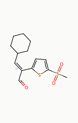 CS(=O)(=O)c1ccc(/C(C=O)=C\C2CCCCC2)s1